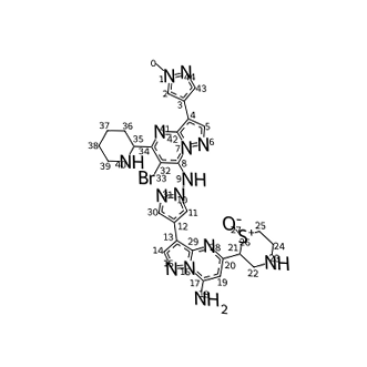 Cn1cc(-c2cnn3c(Nn4cc(-c5cnn6c(N)cc(C7CNCC[S+]7[O-])nc56)cn4)c(Br)c(C4CCCCN4)nc23)cn1